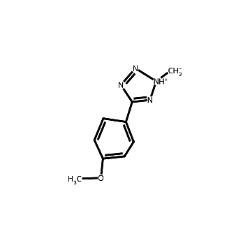 [CH2-][NH+]1N=NC(c2ccc(OC)cc2)=N1